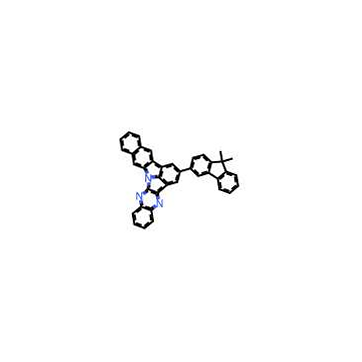 CC1(C)c2ccccc2-c2cc(-c3cc4c5cc6ccccc6cc5n5c6nc7ccccc7nc6c(c3)c45)ccc21